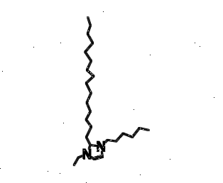 CCCCCCCCCCCCCCCC1N(CC)C=CN1CCCCCC